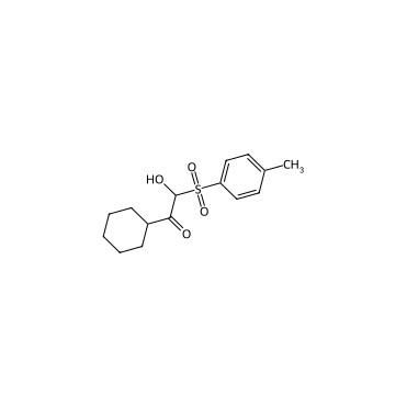 Cc1ccc(S(=O)(=O)C(O)C(=O)C2CCCCC2)cc1